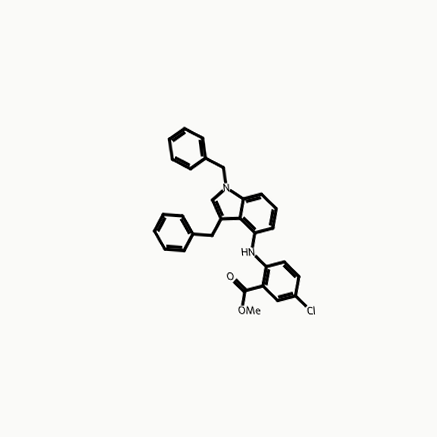 COC(=O)c1cc(Cl)ccc1Nc1cccc2c1c(Cc1ccccc1)cn2Cc1ccccc1